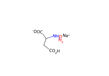 NC(CC(=O)O)C(=O)[O-].O.[Na+]